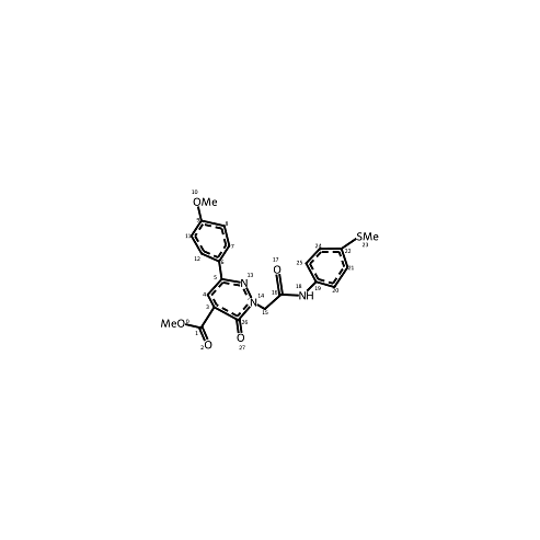 COC(=O)c1cc(-c2ccc(OC)cc2)nn(CC(=O)Nc2ccc(SC)cc2)c1=O